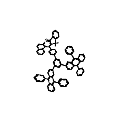 CC1(C)c2ccccc2-c2nc3ccc4ccccc4c3c(-c3ccc(-c4cc(-c5ccc6c(-c7ccccc7)c7ccccc7c(-c7ccccc7)c6c5)cc(-c5ccc6c(-c7ccccc7)c7ccccc7c(-c7ccccc7)c6c5)c4)cc3)c21